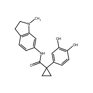 CN1CCc2ccc(NC(=O)C3(c4ccc(O)c(O)c4)CC3)cc21